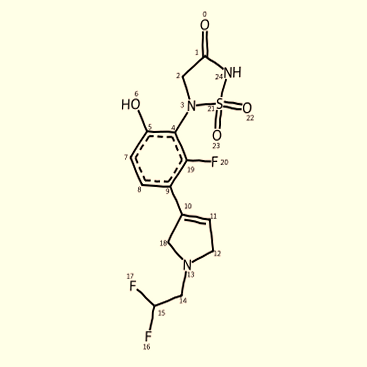 O=C1CN(c2c(O)ccc(C3=CCN(CC(F)F)C3)c2F)S(=O)(=O)N1